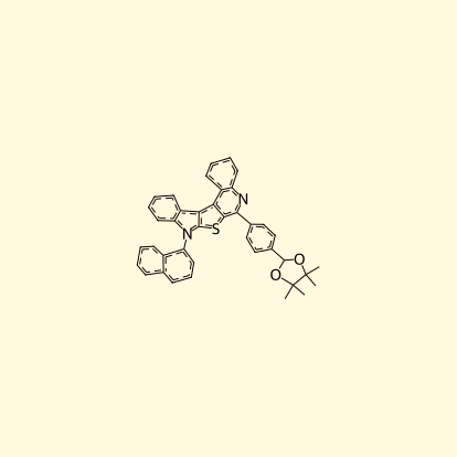 CC1(C)OC(c2ccc(-c3nc4ccccc4c4c3sc3c4c4ccccc4n3-c3cccc4ccccc34)cc2)OC1(C)C